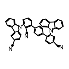 N#Cc1ccc(-c2ccc(-c3cccc(-n4c5ccccc5c5cc(C#N)ccc54)c3C#N)cc2)c(-n2c3ccccc3c3ccccc32)c1